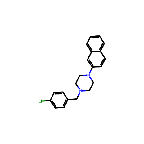 Clc1ccc(CN2CCN(c3ccc4ccccc4c3)CC2)cc1